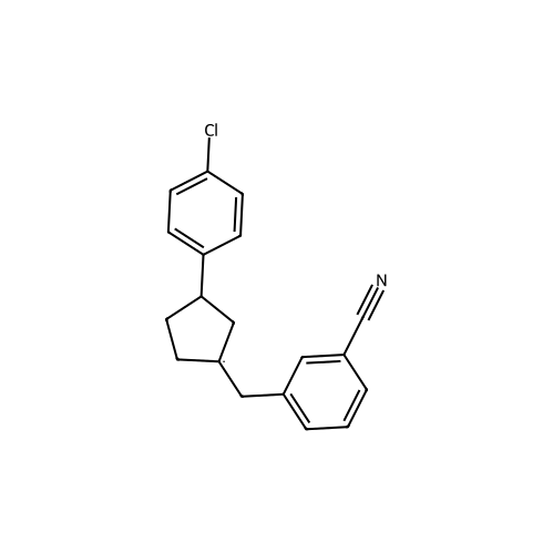 N#Cc1cccc(C[C]2CCC(c3ccc(Cl)cc3)C2)c1